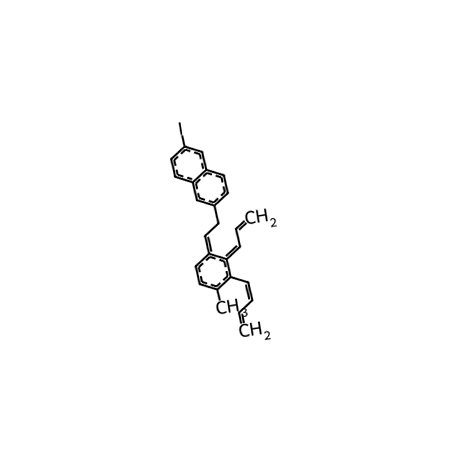 C=C/C=C\c1c(C)ccc(=C/Cc2ccc3cc(I)ccc3c2)/c1=C\C=C